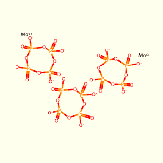 O=P1([O-])OP(=O)([O-])OP(=O)([O-])OP(=O)([O-])O1.O=P1([O-])OP(=O)([O-])OP(=O)([O-])OP(=O)([O-])O1.O=P1([O-])OP(=O)([O-])OP(=O)([O-])OP(=O)([O-])O1.[Mo+6].[Mo+6]